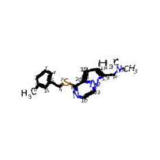 Cc1cccc(CSc2nccn3c(CN(C)C)ccc23)c1